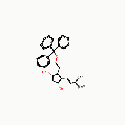 CCCCC[C@@H](/C=C/[C@H]1[C@H](CCOC(c2ccccc2)(c2ccccc2)c2ccccc2)[C@@H](O)C[C@H]1O)OC(C)=O